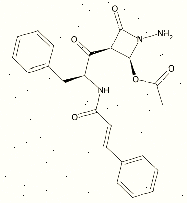 CC(=O)O[C@H]1[C@@H](C(=O)[C@H](Cc2ccccc2)NC(=O)C=Cc2ccccc2)C(=O)N1N